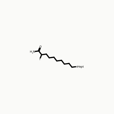 CCCCCCCCCCCCCCCC(I)C(N)=O